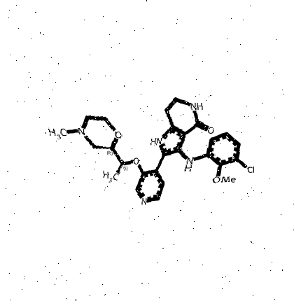 COc1c(Cl)cccc1Nc1c(-c2ccncc2O[C@@H](C)[C@H]2CN(C)CCO2)[nH]c2c1C(=O)NCC2